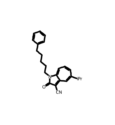 CC(C)c1cccc2n(CCCCCc3ccccc3)c(=O)c(C#N)c-2c1